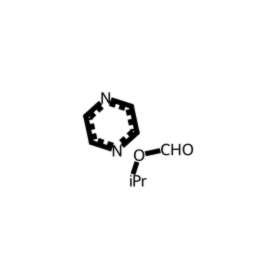 CC(C)OC=O.c1cnccn1